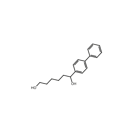 OCCCCCC(O)c1ccc(-c2ccccc2)cc1